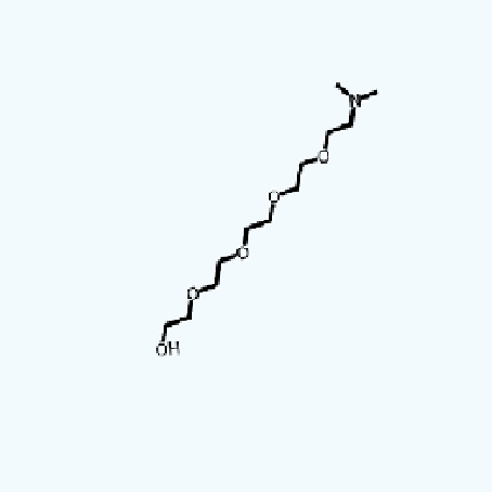 CN(C)CCOCCOCCOCCOCCO